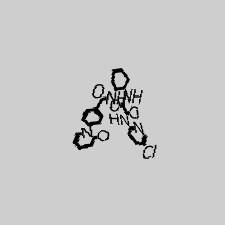 O=C(Nc1ccc(Cl)cn1)C(=O)NC1CCCCC1NC(=O)c1ccc(-n2ccccc2=O)cc1